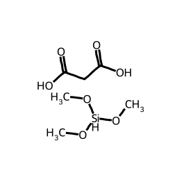 CO[SiH](OC)OC.O=C(O)CC(=O)O